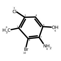 Cc1c(Cl)cc(O)c(N)c1Br